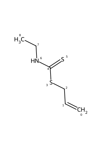 C=CCSC(=S)NCC